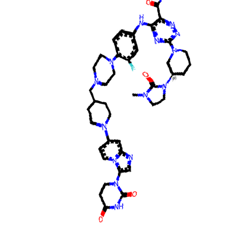 CN1CCN([C@@H]2CCCN(c3nnc(C(N)=O)c(Nc4ccc(N5CCN(CC6CCN(c7ccn8c(N9CCC(=O)NC9=O)cnc8c7)CC6)CC5)c(F)c4)n3)C2)C1=O